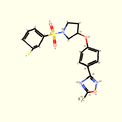 O=S(=O)(c1cccc(F)c1)N1CCC(Oc2ccc(-c3noc(C(F)(F)F)n3)cc2)C1